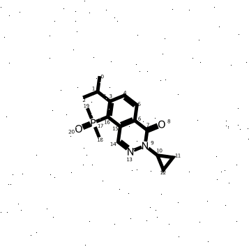 CC(C)c1ccc2c(=O)n(C3CC3)ncc2c1P(C)(C)=O